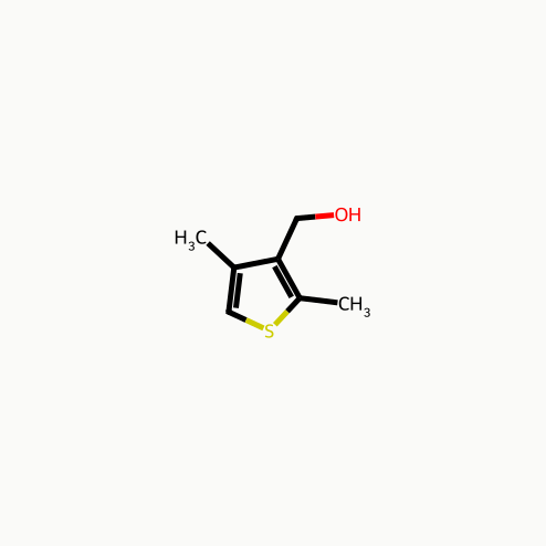 Cc1csc(C)c1CO